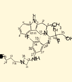 C[C@@H]1Cc2[nH]c3ccccc3c2[C@@H](c2c(F)cc(NC3CN(CCCF)C3)cc2F)N1CC(F)(F)CO